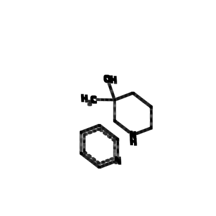 CC1(O)CCCNC1.c1ccncc1